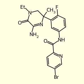 CCN1CC(C)(c2cc(NC(=O)c3ccc(Br)cn3)ccc2F)N=C(N)C1=O